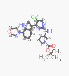 CC(C)(C)OC(=O)N1CCCC(Nc2ncc(Cl)c(-c3c[nH]c4c(N5CCOCC5)cccc34)n2)C1